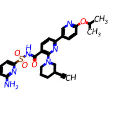 C#CC1CCCN(c2nc(-c3ccc(OC(C)C)nc3)ccc2C(=O)NS(=O)(=O)c2cccc(N)n2)C1